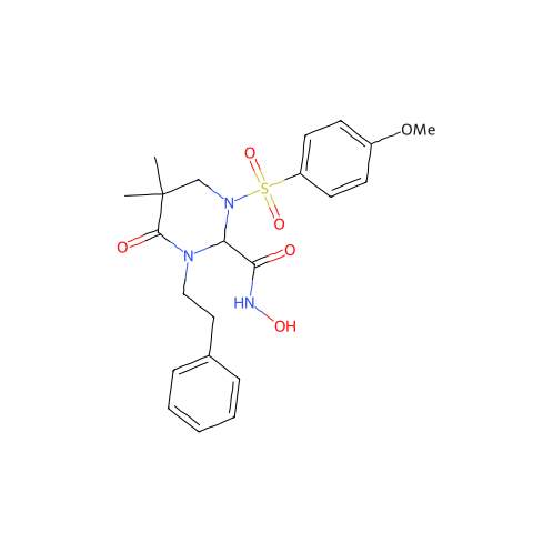 COc1ccc(S(=O)(=O)N2CC(C)(C)C(=O)N(CCc3ccccc3)C2C(=O)NO)cc1